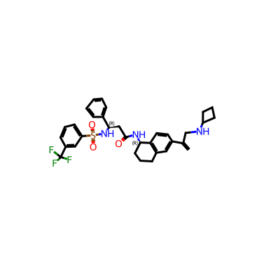 C=C(CNC1CCC1)c1ccc2c(c1)CCC[C@H]2NC(=O)C[C@@H](NS(=O)(=O)c1cccc(C(F)(F)F)c1)c1ccccc1